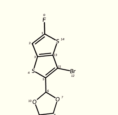 Fc1cc2sc(C3OCCO3)c(Br)c2s1